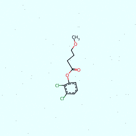 COCCCC(=O)Oc1cccc(Cl)c1Cl